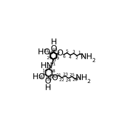 NCCCCCCOc1cc(CNC2CC(O)C(O)C(OCCCCCCN)C2)cc(O)c1O